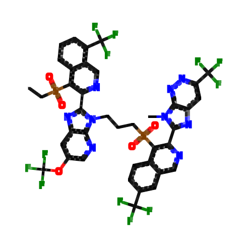 CCS(=O)(=O)c1c(-c2nc3cc(OC(F)(F)F)cnc3n2CCCS(=O)(=O)c2c(-c3nc4cc(C(F)(F)F)nnc4n3C)ncc3cc(C(F)(F)F)ccc23)ncc2c(C(F)(F)F)cccc12